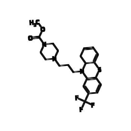 COC(=O)N1CCN(CCCN2c3cc(C(F)(F)F)ccc3SC3=CC=CCC32)CC1